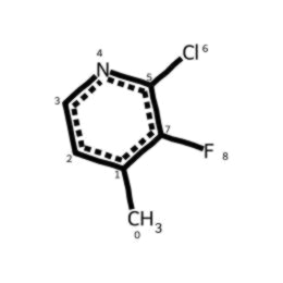 Cc1ccnc(Cl)c1F